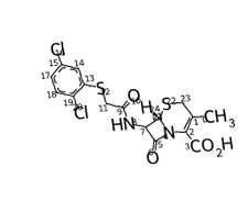 CC1=C(C(=O)O)N2C(=O)C(NC(=O)CSc3cc(Cl)ccc3Cl)[C@@H]2SC1